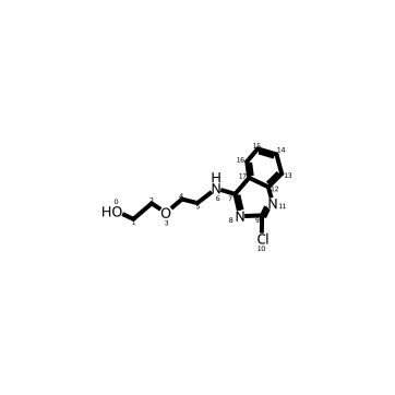 OCCOCCNc1nc(Cl)nc2ccccc12